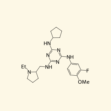 CCN1CCCC1CNc1nc(Nc2ccc(OC)c(F)c2)nc(NC2CCCC2)n1